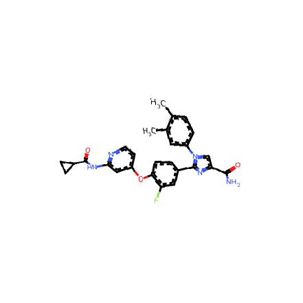 Cc1ccc(-n2cc(C(N)=O)nc2-c2ccc(Oc3ccnc(NC(=O)C4CC4)c3)c(F)c2)cc1C